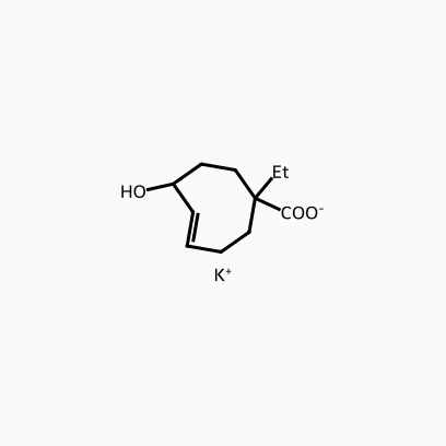 CCC1(C(=O)[O-])CC/C=C/C(O)CC1.[K+]